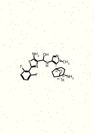 Cn1ncc(NC(O)c2nc(-c3c(F)cccc3F)sc2N)c1[C@@]12CC[C@@H](N)[C@@H](CC1)O2